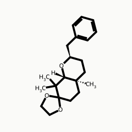 CC1(C)[C@@H]2O[C@@H](Cc3ccccc3)CC[C@@]2(C)CCC12OCCO2